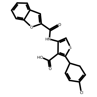 O=C(Nc1csc(C2C=CC(Cl)=CC2)c1C(=O)O)c1cc2ccccc2o1